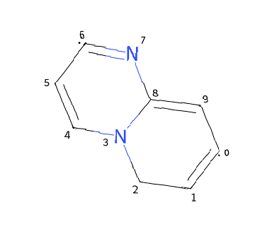 [C]1=CCN2C=C[C]=NC2=C1